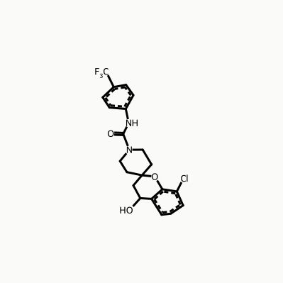 O=C(Nc1ccc(C(F)(F)F)cc1)N1CCC2(CC1)CC(O)c1cccc(Cl)c1O2